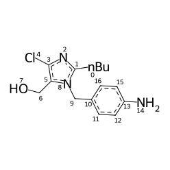 CCCCc1nc(Cl)c(CO)n1Cc1ccc(N)cc1